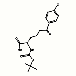 CC(C)(C)OC(=O)N[C@H](CCCC(=O)c1ccc(Cl)cc1)C(=O)O